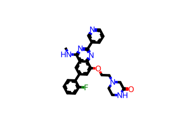 CNc1nc(-c2cccnc2)nc2c(OCCN3CCNC(=O)C3)cc(-c3ccccc3F)cc12